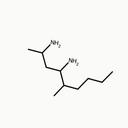 CCCCC(C)C(N)CC(C)N